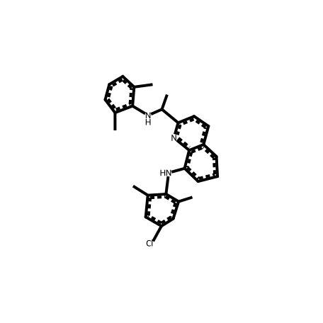 Cc1cc(Cl)cc(C)c1Nc1cccc2ccc(C(C)Nc3c(C)cccc3C)nc12